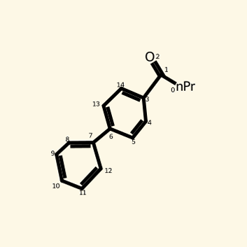 [CH2]CCC(=O)c1ccc(-c2ccccc2)cc1